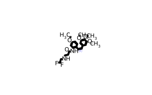 CCOc1ccc(/C=C\c2cc(OC)c(OC)c(OC)c2)c(NC(=O)CCNCC(F)F)c1